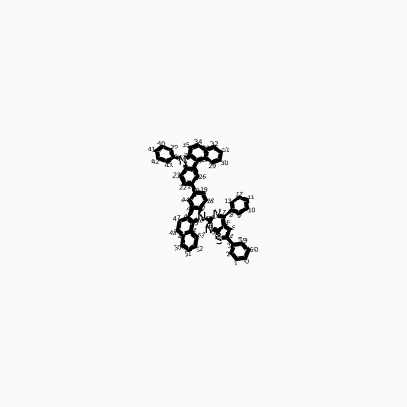 c1ccc(-c2cc3c(-c4ccccc4)nc(-n4c5ccc(-c6ccc7c(c6)c6c8ccccc8ccc6n7-c6ccccc6)cc5c5ccc6ccccc6c54)nc3s2)cc1